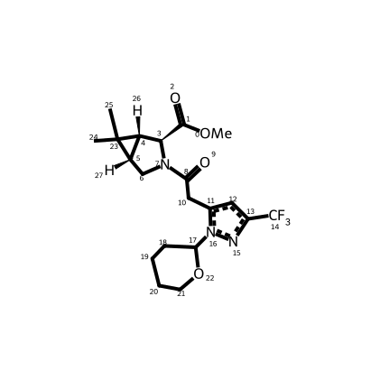 COC(=O)[C@@H]1[C@@H]2[C@H](CN1C(=O)Cc1cc(C(F)(F)F)nn1C1CCCCO1)C2(C)C